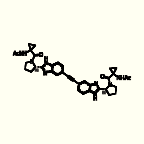 CC(=O)NC1(C(=O)N2CCC[C@H]2c2nc3cc(C#Cc4ccc5[nH]c([C@@H]6CCCN6C(=O)C6(NC(C)=O)CC6)nc5c4)ccc3[nH]2)CC1